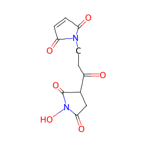 O=C(CCN1C(=O)C=CC1=O)C1CC(=O)N(O)C1=O